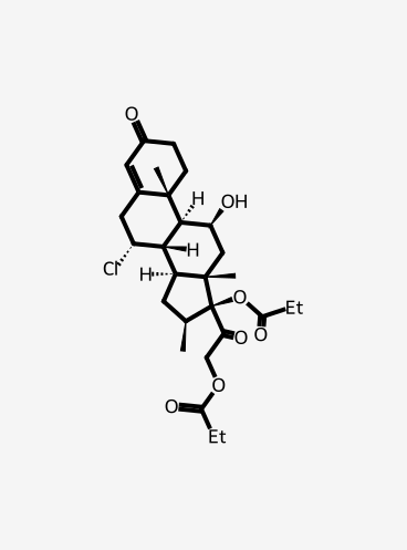 CCC(=O)OCC(=O)[C@]1(OC(=O)CC)[C@@H](C)C[C@H]2[C@H]3[C@H]([C@@H](O)C[C@@]21C)[C@@]1(C)CCC(=O)C=C1C[C@H]3Cl